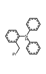 CC(C)Cc1ccccc1[SiH](c1ccccc1)c1ccccc1